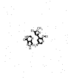 CCOc1ncc(N)cc1-c1cc(CC)n(C)n1.O=c1[nH]cnc2c[nH]nc12